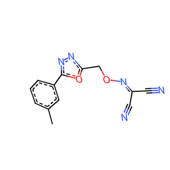 Cc1cccc(-c2nnc(CON=C(C#N)C#N)o2)c1